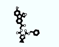 O=C(COC(=O)[C@@H]1CC2(CC2)CN1C(=O)OCc1ccccc1)c1ccc2c(c1)C1(COC1)c1cc(Br)ccc1-2